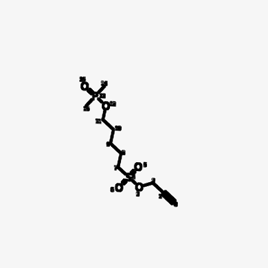 C#CCOS(=O)(=O)CCCCCOP(C)(C)=O